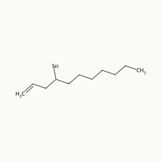 C=CC[CH]([Sn])CCCCCCC